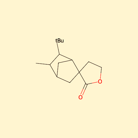 CC1C2CC(C1C(C)(C)C)C1(CCOC1=O)C2